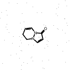 O=c1ccn2n1C=CCC2